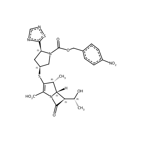 C[C@@H](O)[C@H]1C(=O)N2C(C(=O)O)=C(S[C@H]3C[C@@H](c4ncns4)N(C(=O)OCc4ccc([N+](=O)[O-])cc4)C3)[C@H](C)[C@H]12